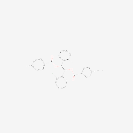 CCCc1ccc(C(=O)O/C(=C(/OC(=O)c2ccc(CCC)cc2)c2ccccc2Cl)c2ccccc2Cl)cc1